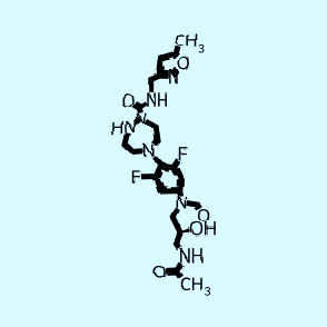 CC(=O)NC[C@H](O)CN(C=O)c1cc(F)c(N2CCNN(C(=O)NCc3cc(C)on3)CC2)c(F)c1